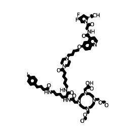 C#C[C@H]1CC(F)(F)CN1C(=O)CNC(=O)c1ccnc2ccc(OCCCCN3CCN(C(=O)CCCCCNC(=O)C(CCCCNC(=O)CCCc4ccc(I)cc4)NC(=O)CN4CCN(COC=O)CCN(COC=O)CCN(CC(=O)O)CC4)CC3)cc12